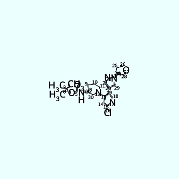 CC(C)(C)OC(=O)N[C@H]1CCCN(c2cc(Cl)ncc2-c2cnn([C@@H]3CCOC3)c2)C1